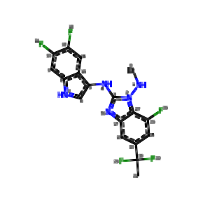 CCNn1c(Nc2c[nH]c3cc(F)c(F)cc23)nc2cc(C(C)(F)F)cc(F)c21